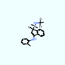 [Li][C]1([Si](C)(C)NC(C)(CC)CC)C=C(Nc2ccccc2C)c2ccccc21